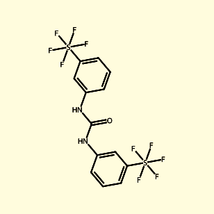 O=C(Nc1cccc(S(F)(F)(F)(F)F)c1)Nc1cccc(S(F)(F)(F)(F)F)c1